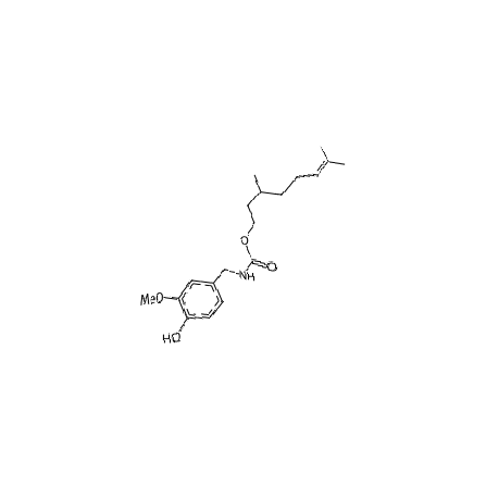 COc1cc(CNC(=O)OCCC(C)CCC=C(C)C)ccc1O